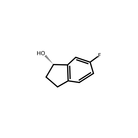 O[C@H]1CCc2ccc(F)cc21